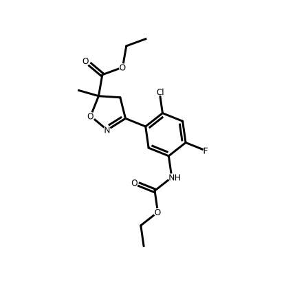 CCOC(=O)Nc1cc(C2=NOC(C)(C(=O)OCC)C2)c(Cl)cc1F